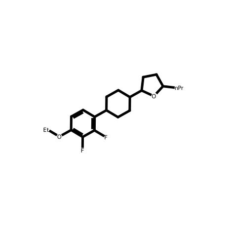 CCCC1CCC(C2CCC(c3ccc(OCC)c(F)c3F)CC2)O1